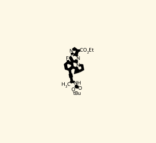 CCOC(=O)c1cnn2ccc(N3CCC4CC43c3cc(F)ccc3C#CC(C)NC(=O)OC(C)(C)C)nc12